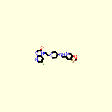 O=c1cnc2ncc(F)cc2n1CCN1CCC(NCc2cc3c(cn2)OCS3)CC1